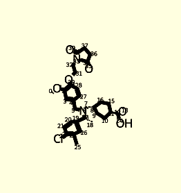 COc1cc(CN(C[C@H]2CC[C@H](C(=O)O)CC2)[C@H](C)c2ccc(Cl)c(C)c2)ccc1OCCN1C(=O)CCC1=O